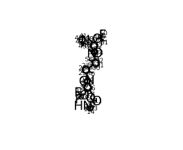 Cc1c(-c2nc3cc(COC(=O)[C@@H]4CCCN4)c(OC(F)F)cc3o2)cccc1-c1cccc(-c2nc3cc(CN4CCCC4(C)C)c(OC(F)F)cc3o2)c1C